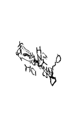 COCCCCOc1ccccc1C(=O)NC[C@@H](C[C@H](N)[C@@H](O)CNC[C@H](OC)C(C)(C)C)C(C)C.Cl